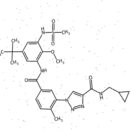 COc1c(NC(=O)c2ccc(C)c(-n3cc(C(=O)NCC4CC4)nn3)c2)cc(C(C)(C)C)cc1NS(C)(=O)=O